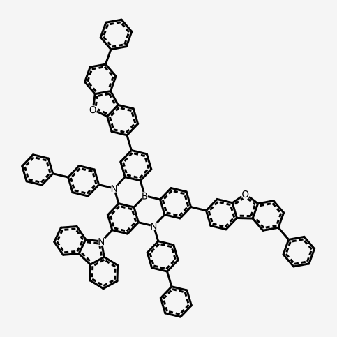 c1ccc(-c2ccc(N3c4cc(-c5ccc6c(c5)oc5ccc(-c7ccccc7)cc56)ccc4B4c5ccc(-c6ccc7c(c6)oc6ccc(-c8ccccc8)cc67)cc5N(c5ccc(-c6ccccc6)cc5)c5cc(-n6c7ccccc7c7ccccc76)cc3c54)cc2)cc1